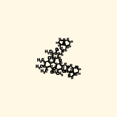 Cc1cc2c(-c3c(C)c(C)c(C)c(C)c3C(=O)O)c3cc(C)c(=O)c(CN(Cc4ccccn4)Cc4cccs4)c-3oc2c(CN(Cc2ccccn2)Cc2cccs2)c1O